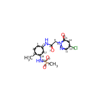 Cc1ccc(NC(=O)Cn2ncc(Cl)cc2=O)cc1NS(C)(=O)=O